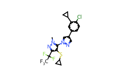 Cn1nc(C(F)(F)C(F)(F)F)c(SC2CC2)c1-n1cc(-c2ccc(Cl)c(C3CC3)c2)cn1